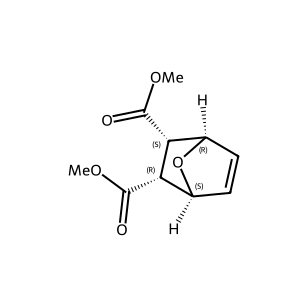 COC(=O)[C@@H]1[C@H](C(=O)OC)[C@H]2C=C[C@@H]1O2